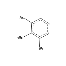 [CH2]CCCc1c(C(C)=O)cccc1C(C)C